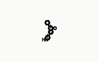 O=C1CN(C2CCCCC2)Cc2cc(N3CCNCC3)ccc21